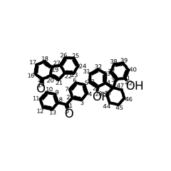 O=C(c1ccccc1)c1ccccc1.O=C1C=CC=C2C1=Cc1ccccc12.Oc1ccccc1C1(c2ccccc2O)CCCCC1